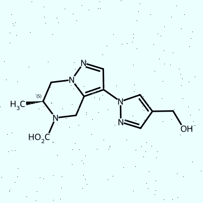 C[C@H]1Cn2ncc(-n3cc(CO)cn3)c2CN1C(=O)O